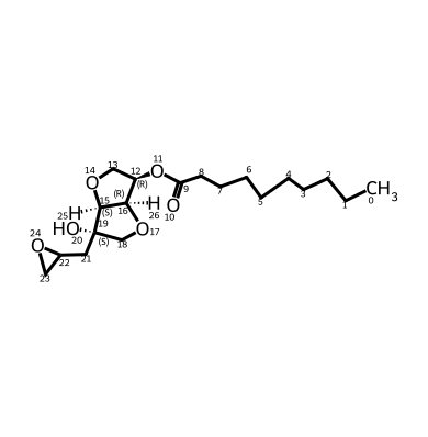 CCCCCCCCCC(=O)O[C@@H]1CO[C@H]2[C@@H]1OC[C@@]2(O)CC1CO1